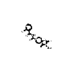 C=C1N(C(C)(C)C)C(=O)OC12CCN(C(=O)NC(=O)c1cccnc1Cl)CC2